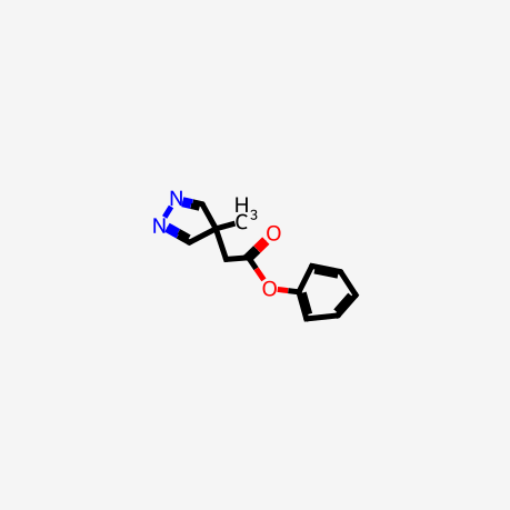 CC1(CC(=O)Oc2ccccc2)C=NN=C1